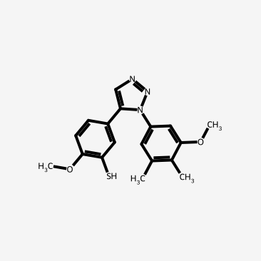 COc1ccc(-c2cnnn2-c2cc(C)c(C)c(OC)c2)cc1S